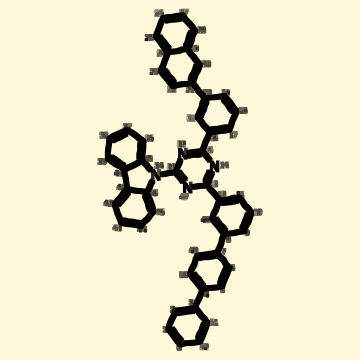 c1ccc(-c2ccc(-c3cccc(-c4nc(-c5cccc(-c6ccc7ccccc7c6)c5)nc(-n5c6ccccc6c6ccccc65)n4)c3)cc2)cc1